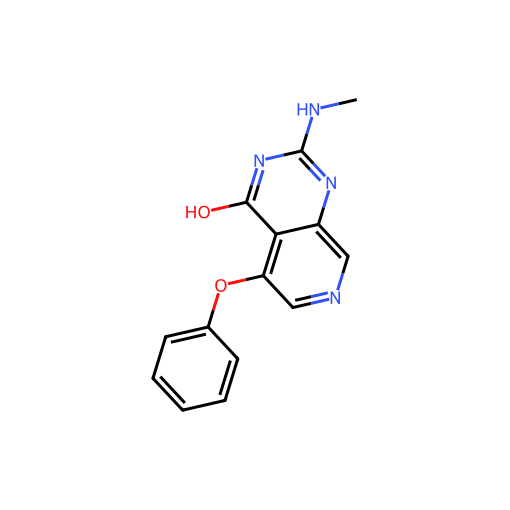 CNc1nc(O)c2c(Oc3ccccc3)cncc2n1